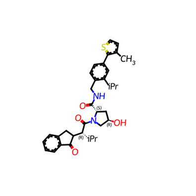 Cc1ccsc1-c1ccc(CNC(=O)[C@@H]2C[C@@H](O)CN2C(=O)[C@H](C(C)C)C2Cc3ccccc3C2=O)c(C(C)C)c1